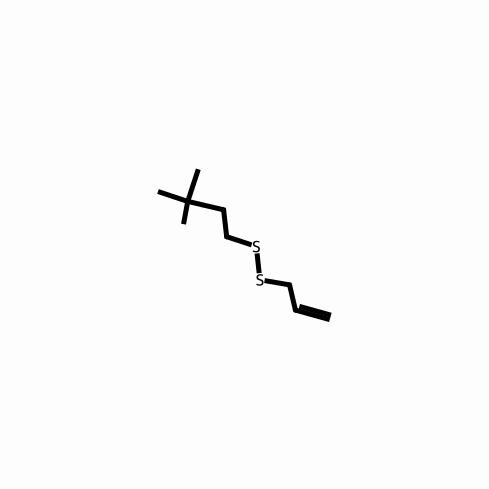 C=CCSSCCC(C)(C)C